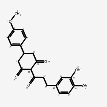 COc1ccc(C2CC(=O)C(C(=O)CCc3ccc(O)c(O)c3)C(=O)C2)cc1